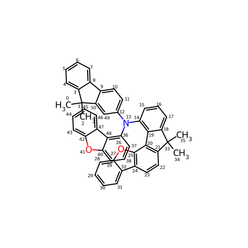 CC1(C)c2ccccc2-c2ccc(N(c3cccc4c3-c3c(ccc5c3oc3ccccc35)C4(C)C)c3cccc4oc5ccccc5c34)cc21